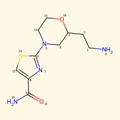 NCCC1CN(c2nc(C(N)=O)cs2)CCO1